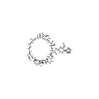 COC1C(=O)C(C)C[C@H](C)/C=C/C=C/C=C(\C)[C@@H](OC)C[C@@H]2CC[C@@H](C)[C@@](O)(O2)C(=O)C(=O)N2CCCCC2C(=O)O[C@H]([C@H](C)C[C@@H]2CC[C@H](n3ncnn3)[C@H](OC)C2)CC(=O)[C@H](C)/C=C(\C)[C@H]1O